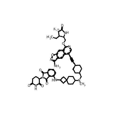 CCC1C(COc2ncc(C#CC3CCC(CN(C)C4CCC5(CC4)CC(Nc4cccc6c4C(=O)N(C4CCC(=O)NC4=O)C6=O)C5)CC3)c3cc4c(N)noc4cc23)NC(=O)[C@H]1F